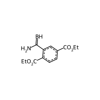 B=C(N)c1cc(C(=O)OCC)ccc1C(=O)OCC